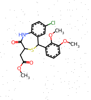 COC(=O)CC1SC(c2cccc(OC)c2OC)c2cc(Cl)ccc2NC1=O